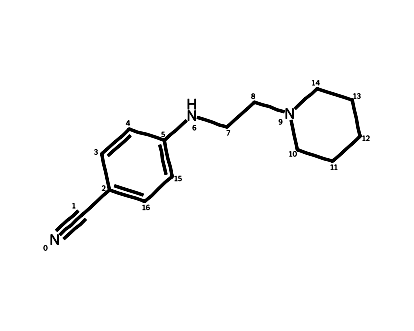 N#Cc1ccc(NCCN2CCCCC2)cc1